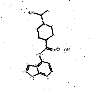 CC(N)C1CCC(C(=O)Nc2ccnc3[nH]ncc23)CC1.Cl.Cl